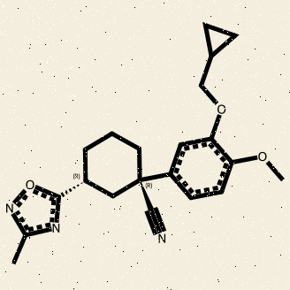 COc1ccc([C@@]2(C#N)CCC[C@@H](c3nc(C)no3)C2)cc1OCC1CC1